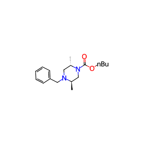 CCCCOC(=O)N1C[C@@H](C)N(Cc2ccccc2)C[C@@H]1C